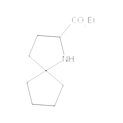 CCOC(=O)C1CCC2(CCCC2)N1